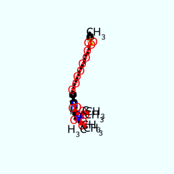 Cc1ccc(S(=O)(=O)OCCOCCOCCOCCOCCOCCOCCOc2ccc(C3CCN(S(=O)(=O)c4ccc5c(c4)N(C(=O)OC(C)(C)C)CN(CC(=O)OC(C)(C)C)C5=O)CC3)cc2)cc1